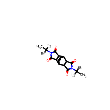 CCC(C)(CC)N1C(=O)C2C3C=CC(C2C1=O)C1C(=O)N(C(C)(CC)CC)C(=O)C31